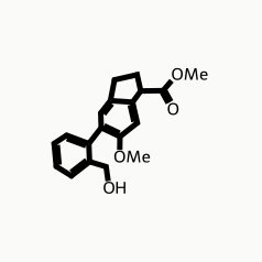 COC(=O)C1CCc2cc(-c3ccccc3CO)c(OC)cc21